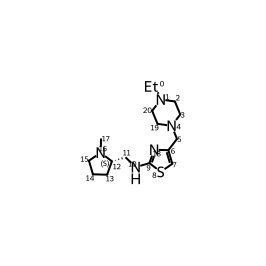 CCN1CCN(Cc2csc(NC[C@@H]3CCCN3C)n2)CC1